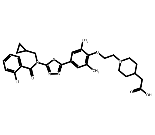 Cc1cc(-c2nnc(N(CC3CC3)C(=O)c3ccccc3Cl)s2)cc(C)c1OCCN1CCC(CC(=O)O)CC1